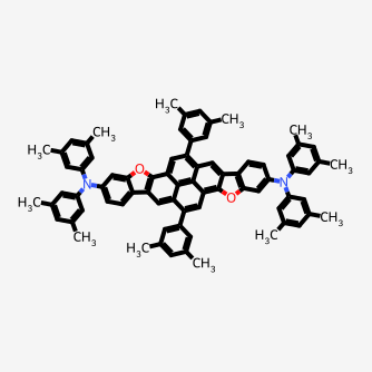 Cc1cc(C)cc(-c2cc3c4oc5cc(N(c6cc(C)cc(C)c6)c6cc(C)cc(C)c6)ccc5c4cc4c(-c5cc(C)cc(C)c5)cc5c6oc7cc(N(c8cc(C)cc(C)c8)c8cc(C)cc(C)c8)ccc7c6cc2c5c43)c1